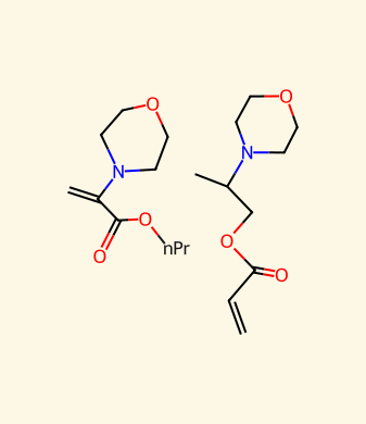 C=C(C(=O)OCCC)N1CCOCC1.C=CC(=O)OCC(C)N1CCOCC1